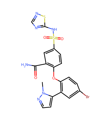 Cn1nccc1-c1cc(Br)ccc1Oc1ccc(S(=O)(=O)Nc2ncns2)cc1C(N)=O